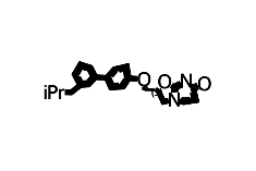 CC(C)Cc1cccc(-c2ccc(OC[C@@H]3Cn4ccc(=O)nc4O3)cc2)c1